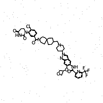 O=C1CCN(c2cc(C(=O)N3CCC4(CCC(CN5CCC(n6cc7cc(NC(=O)c8cccc(C(F)(F)F)n8)c(OC8COC8)cc7n6)CC5)CC4)CC3)ccc2Cl)C(=O)N1